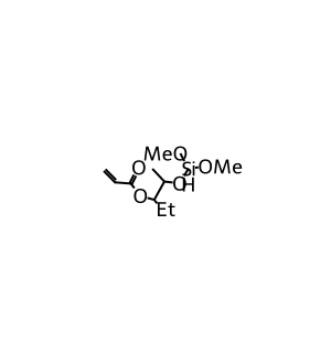 C=CC(=O)OC(CC)C(C)O[SiH](OC)OC